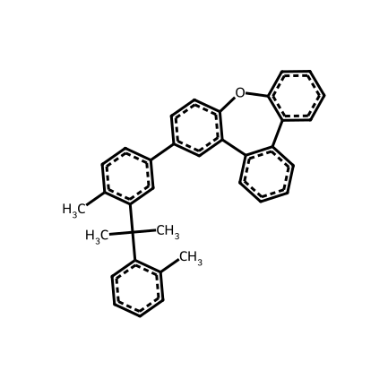 Cc1ccccc1C(C)(C)c1cc(-c2ccc3c(c2)-c2ccccc2-c2ccccc2O3)ccc1C